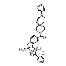 CC1(C)Cc2ccc(C(=O)N3CCC4(CC3)CCN(c3ccncc3)CC4)cc2C1NC(=O)c1ccccc1Cl